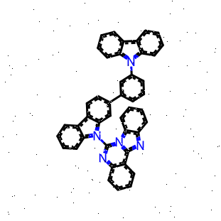 c1cc(-c2ccc3c4ccccc4n(-c4nc5ccccc5c5nc6ccccc6n45)c3c2)cc(-n2c3ccccc3c3ccccc32)c1